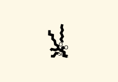 C=CCC([SiH2]CCC)(C(=O)OCCCCCCC)C(CCC)CCCCCCC